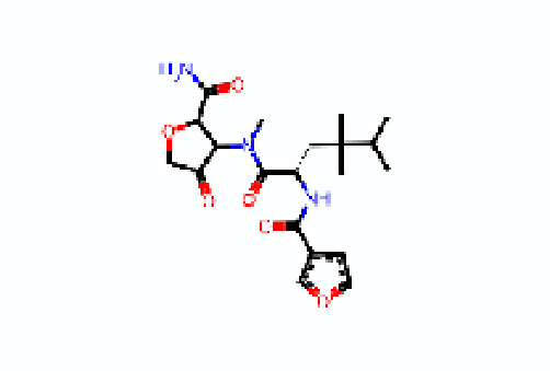 CC(C)C(C)(C)C[C@H](NC(=O)c1ccoc1)C(=O)N(C)C1C(=O)COC1C(N)=O